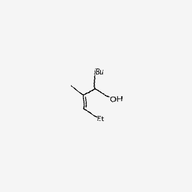 CCC=C(C)C(O)C(C)CC